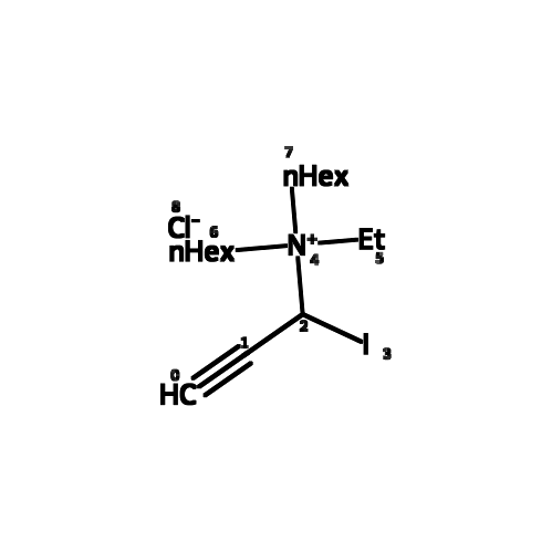 C#CC(I)[N+](CC)(CCCCCC)CCCCCC.[Cl-]